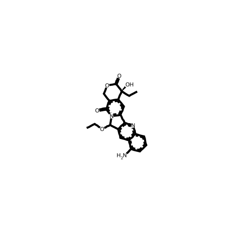 CCOC1c2cc3c(N)cccc3nc2-c2cc3c(c(=O)n21)COC(=O)[C@]3(O)CC